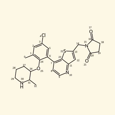 Cc1cc(Cl)cc(-c2ccnc3cc(CN4C(=O)CCC4=O)sc23)c1OC1CCCNC1C